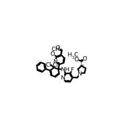 COC(=O)[C@@H]1CCN(Cc2ccnc(NC3(c4ccc(C=O)c(OC)n4)C=CC=C(c4ccccc4)C3(Cl)Cl)c2F)C1